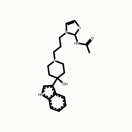 CC(=O)NC1SC=CN1CCCN1CCC(O)(c2c[nH]c3ccccc23)CC1